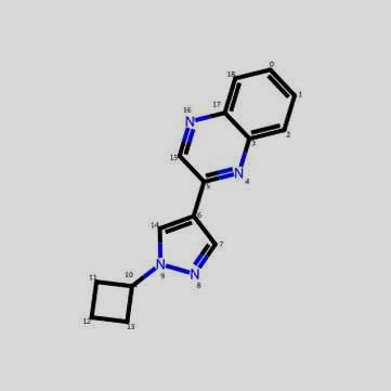 c1ccc2nc(-c3cnn([C]4CCC4)c3)cnc2c1